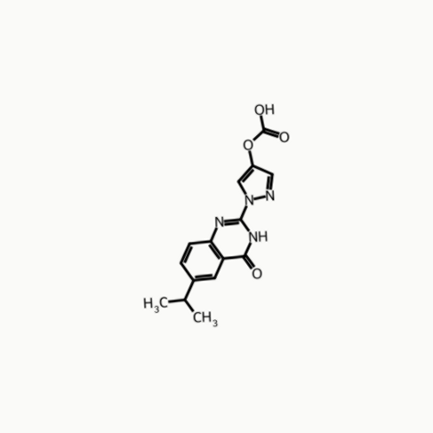 CC(C)c1ccc2nc(-n3cc(OC(=O)O)cn3)[nH]c(=O)c2c1